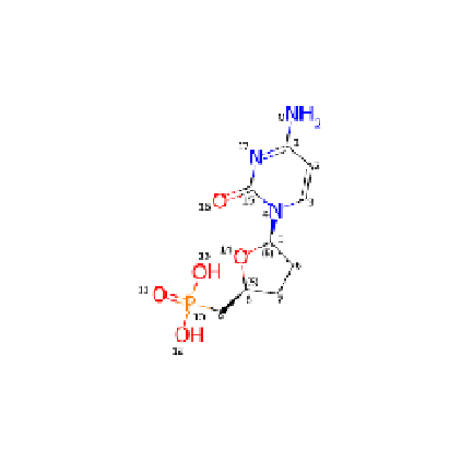 Nc1ccn([C@H]2CC[C@@H](CP(=O)(O)O)O2)c(=O)n1